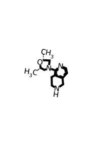 C[C@@H]1CN(c2nccc3c2CCNC3)C[C@H](C)O1